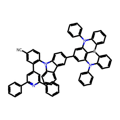 N#Cc1ccc(-n2c3ccccc3c3cc(-c4cc5c6c(c4)N(c4ccccc4)c4ccccc4B6c4ccccc4N5c4ccccc4)ccc32)c(-c2cc(-c3ccccc3)nc(-c3ccccc3)c2)c1